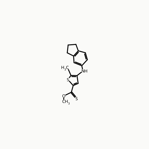 COC(=S)c1cc(Nc2ccc3c(c2)CCC3)c(C)s1